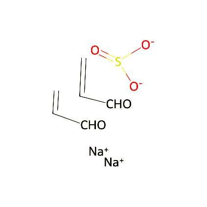 C=CC=O.C=CC=O.O=S([O-])[O-].[Na+].[Na+]